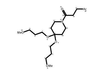 COCCCOC1(OCCCOC)CCN(C(=O)CCC(C)=O)CC1